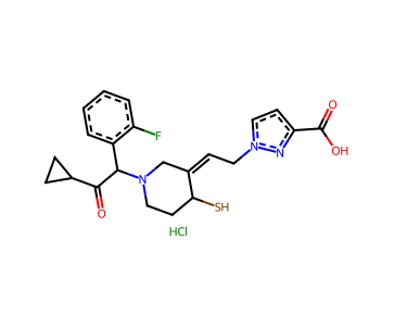 Cl.O=C(O)c1ccn(CC=C2CN(C(C(=O)C3CC3)c3ccccc3F)CCC2S)n1